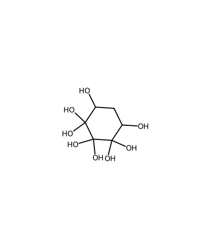 OC1CC(O)C(O)(O)C(O)(O)C1(O)O